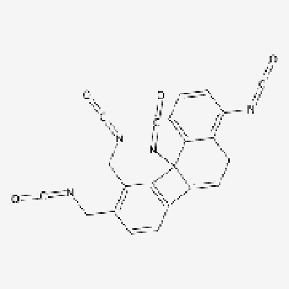 O=C=NCc1ccc2c(c1CN=C=O)C1(N=C=O)C2=CCc2c(N=C=O)cccc21